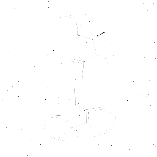 COC(=O)[C@@H](C)NC(=O)OCC1c2ccccc2-c2ccccc21